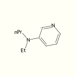 CCCN(CC)c1[c]nccc1